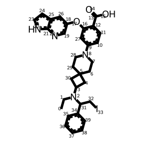 CCN(C1CC2(CCN(c3ccc(C(=O)O)c(Oc4cnc5[nH]ccc5c4)c3)CC2)C1)C(CI)c1ccccc1